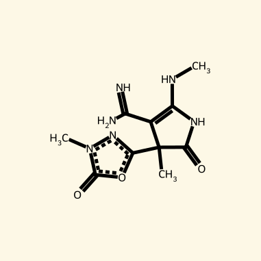 CNC1=C(C(=N)N)C(C)(c2nn(C)c(=O)o2)C(=O)N1